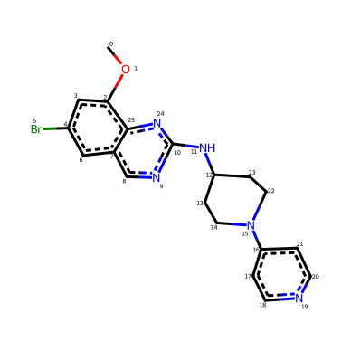 COc1cc(Br)cc2cnc(NC3CCN(c4ccncc4)CC3)nc12